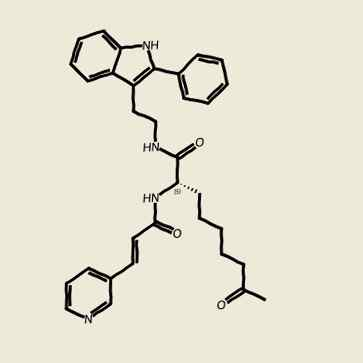 CC(=O)CCCCC[C@H](NC(=O)C=Cc1cccnc1)C(=O)NCCc1c(-c2ccccc2)[nH]c2ccccc12